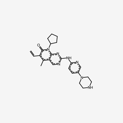 C=Cc1c(C)c2cnc(Nc3ccc(N4CCNCC4)cn3)nc2n(C2CCCC2)c1=O